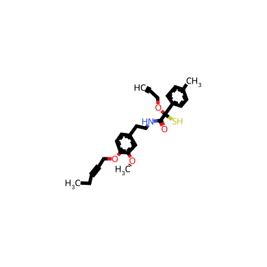 C#CCOC(S)(C(=O)NCCc1ccc(OCC#CCC)c(OC)c1)c1ccc(C)cc1